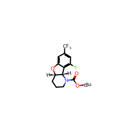 CC(C)(C)OC(=O)N1CCC[C@@H]2Oc3cc(C(F)(F)F)cc(F)c3[C@@H]21